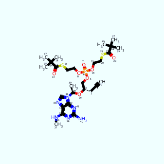 C#CC[C@@H](COP(=O)(OCCSC(=O)C(C)(C)C)OCCSC(=O)C(C)(C)C)O[C@H](C)n1cnc2c(NC)nc(N)nc21